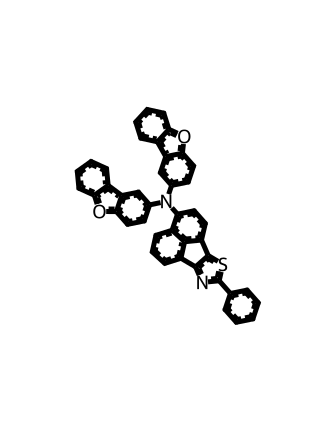 c1ccc(-c2nc3c(s2)-c2ccc(N(c4ccc5oc6ccccc6c5c4)c4ccc5oc6ccccc6c5c4)c4cccc-3c24)cc1